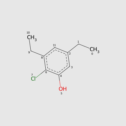 CCc1cc(O)c(Cl)c(CC)c1